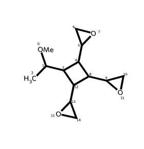 COC(C)C1C(C2CO2)C(C2CO2)C1C1CO1